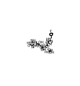 COC1C(OP(=O)(O)OC[C@H]2O[C@@H](n3cnc4c(=O)[nH]c(N)nc43)C(O)C2O)[C@@H](COP(=O)(O)O)O[C@H]1n1cnc2c(NCc3ccc(F)cc3)ncnc21